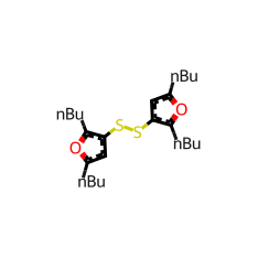 CCCCc1cc(SSc2cc(CCCC)oc2CCCC)c(CCCC)o1